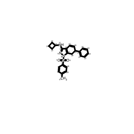 Cc1ccc(S(=O)(=O)n2nc(NC3CCC3)c3c2CC(c2ccccc2)C=C3)cc1